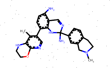 Cc1c(-c2ccc(N)c3c2NC(N)(c2ccc4c(c2)CN(C)CC4)N=C3)cnc2c1NCCO2